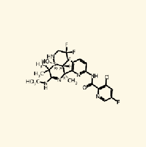 CC1(C)C(NC(=O)O)=N[C@](C)(c2nc(NC(=O)c3ncc(F)cc3Cl)ccc2F)[C@H]2CC(F)(F)CN[S@@]21O